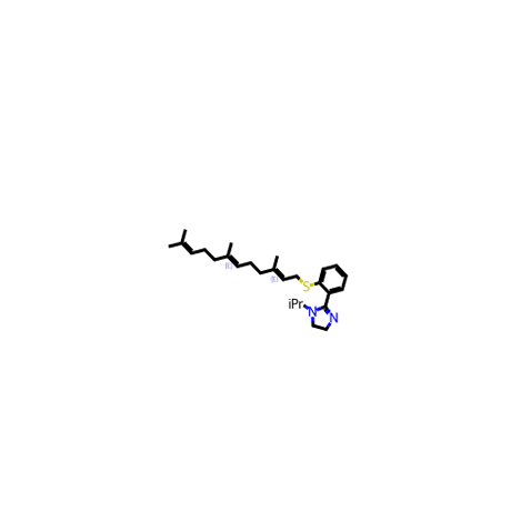 CC(C)=CCC/C(C)=C/CC/C(C)=C/CSc1ccccc1C1=NCCN1C(C)C